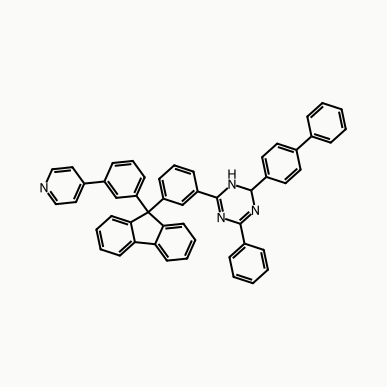 c1ccc(C2=NC(c3ccc(-c4ccccc4)cc3)NC(c3cccc(C4(c5cccc(-c6ccncc6)c5)c5ccccc5-c5ccccc54)c3)=N2)cc1